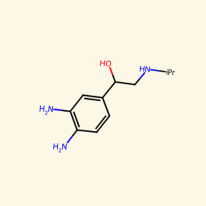 CC(C)NCC(O)c1ccc(N)c(N)c1